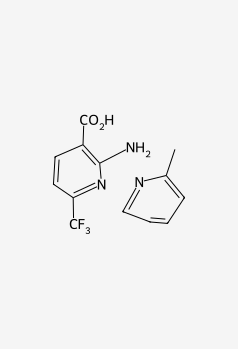 Cc1ccccn1.Nc1nc(C(F)(F)F)ccc1C(=O)O